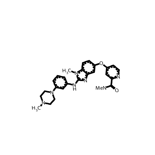 CNC(=O)c1cc(Oc2ccc3c(c2)nc(Nc2cccc(N4CCN(C)CC4)c2)n3C)ccn1